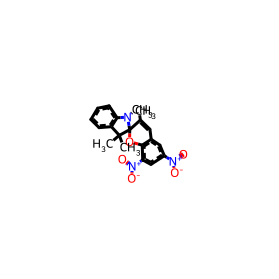 CC1=Cc2cc([N+](=O)[O-])cc([N+](=O)[O-])c2OC12N(C)c1ccccc1C2(C)C